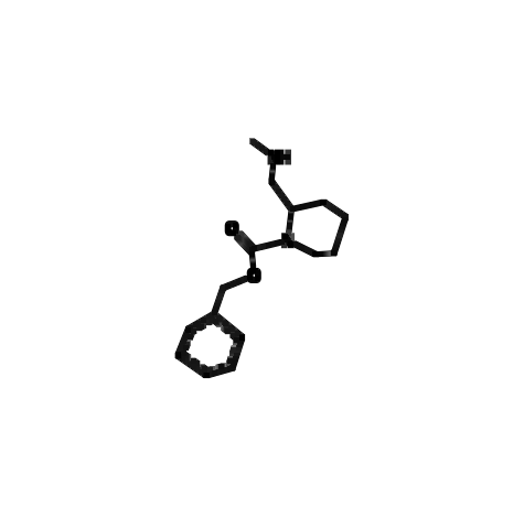 CNCC1CCCCN1C(=O)OCc1ccccc1